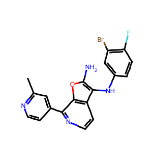 Cc1cc(-c2nccc3c(Nc4ccc(F)c(Br)c4)c(N)oc23)ccn1